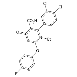 CCn1c(Oc2ccc(F)nc2)cc(=O)c(C(=O)O)c1-c1ccc(Cl)c(Cl)c1